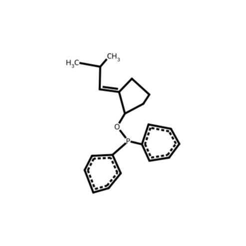 CC(C)C=C1CCCC1OP(c1ccccc1)c1ccccc1